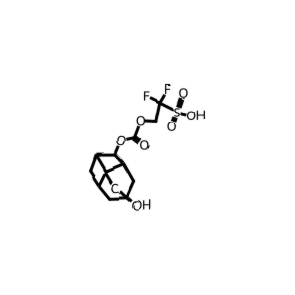 O=C(OCC(F)(F)S(=O)(=O)O)OC1C2CC3CC1CC(O)(C3)C2